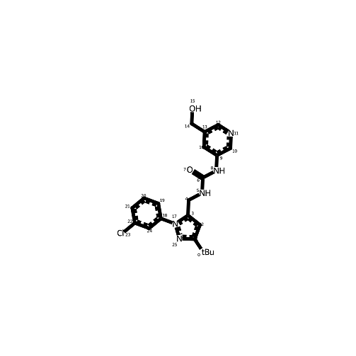 CC(C)(C)c1cc(CNC(=O)Nc2cncc(CO)c2)n(-c2cccc(Cl)c2)n1